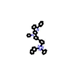 c1ccc(-c2nc(-c3cccc(-c4ccc5c(c4)c4cc6nc(-c7ccccc7)c7ccccc7c6cc4n5-c4ccccc4)c3)nc(-c3ccc4ccccc4c3)n2)cc1